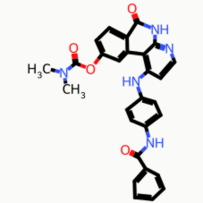 CN(C)C(=O)Oc1ccc2c(=O)[nH]c3nccc(Nc4ccc(NC(=O)c5ccccc5)cc4)c3c2c1